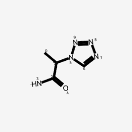 CC(C([NH])=O)n1cnnn1